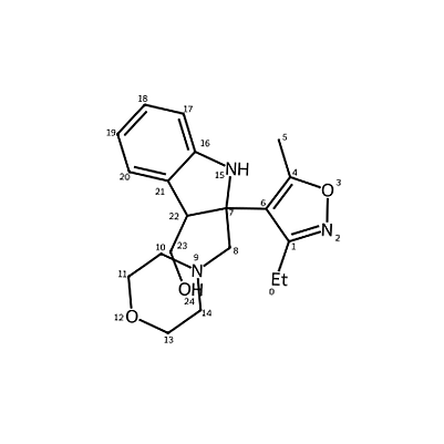 CCc1noc(C)c1C1(CN2CCOCC2)Nc2ccccc2C1CO